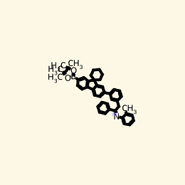 Cc1ccccc1/N=C(\Cc1cccc(-c2ccc3c(c2)C2(CCCCC2)c2cc(B4OC(C)(C)C(C)(C)O4)ccc2-3)c1)c1ccccc1